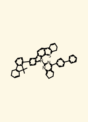 CC1(C)C2=C(CCC=C2)c2cccc(-c3ccc4c(c3)c3ccc5c6c(sc5c3n4-c3nc(-c4ccc(-c5ccccc5)cc4)c4c(n3)=CCCC=4)CCC=C6)c21